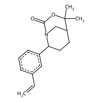 C=Cc1cccc(C2CCC3CN2C(=O)OC3(C)C)c1